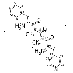 NC(Cc1ccccc1)C(=O)C(Cl)C(=O)C(Cl)C(=O)C(N)Cc1ccccc1